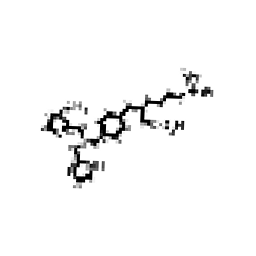 CCCN(CCC)CCCCN(CC(=O)O)Cc1ccc(CN(Cc2ncc[nH]2)Cc2nccn2C)cc1